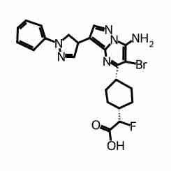 Nc1c(Br)c([C@H]2CC[C@@H](C(F)C(=O)O)CC2)nc2c(C3C=NN(c4ccccc4)C3)cnn12